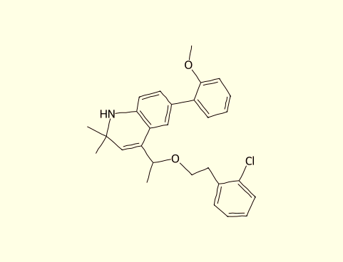 COc1ccccc1-c1ccc2c(c1)C(C(C)OCCc1ccccc1Cl)=CC(C)(C)N2